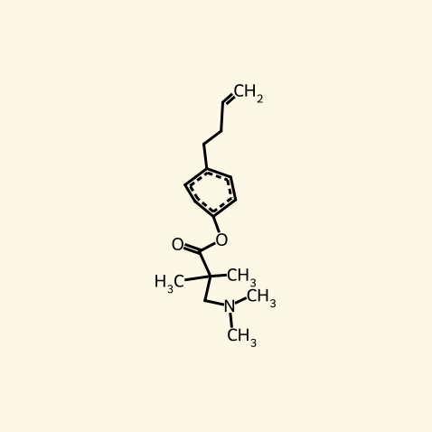 C=CCCc1ccc(OC(=O)C(C)(C)CN(C)C)cc1